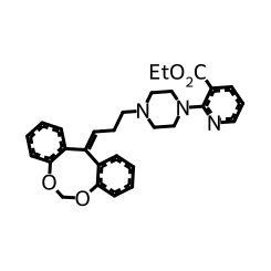 CCOC(=O)c1cccnc1N1CCN(CCC=C2c3ccccc3OCOc3ccccc32)CC1